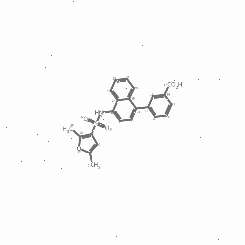 Cc1cc(S(=O)(=O)Nc2ccc(-c3cccc(C(=O)O)c3)c3ccccc23)c(C)o1